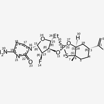 C=C(C)[C@@H]1CC[C@]2(C)S[P@@](=S)(O[C@H]3[C@@H](F)[C@H](n4ccc(N)nc4=O)O[C@@H]3CC)O[C@H]2C1